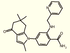 Cc1cc2c(n1-c1ccc(C(N)=O)c(NCc3ccccn3)c1)CC(C)(C)CC2=O